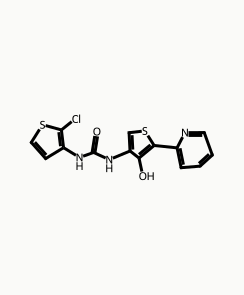 O=C(Nc1ccsc1Cl)Nc1csc(-c2ccccn2)c1O